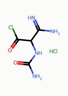 Cl.N=C(N)C(NC(N)=O)C(=O)Cl